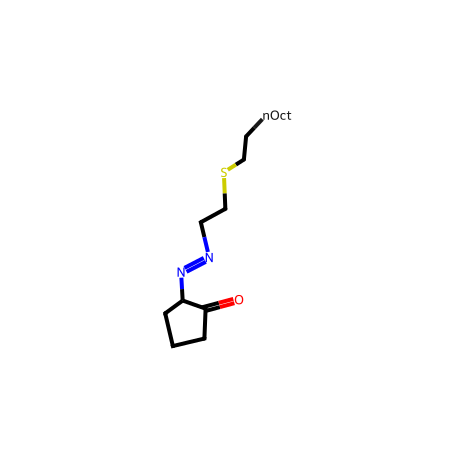 CCCCCCCCCCSCCN=NC1CCCC1=O